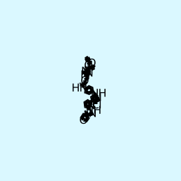 CC(C)[C@@H](OC(=O)C(C)(C)C)n1nnc(COC[C@@H](C)N[C@H]2CC[C@H](Nc3cc(-c4cccc(NCC5(C#N)CCOCC5)n4)c(Cl)cn3)CC2)n1